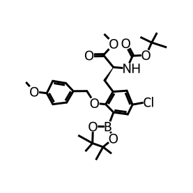 COC(=O)[C@H](Cc1cc(Cl)cc(B2OC(C)(C)C(C)(C)O2)c1OCc1ccc(OC)cc1)NC(=O)OC(C)(C)C